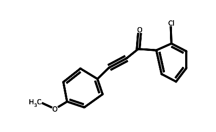 COc1ccc(C#CC(=O)c2ccccc2Cl)cc1